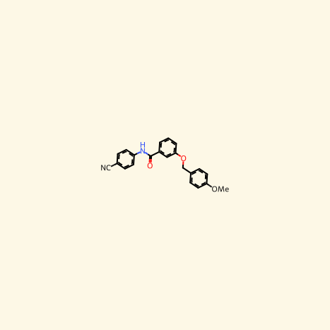 COc1ccc(COc2cccc(C(=O)Nc3ccc(C#N)cc3)c2)cc1